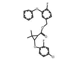 CC1(C)C(Oc2ccc(Cl)cc2F)C1C(=O)OCc1ccc(F)c(Oc2ccccc2)c1